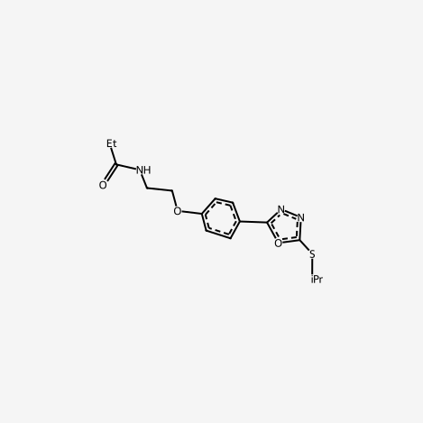 CCC(=O)NCCOc1ccc(-c2nnc(SC(C)C)o2)cc1